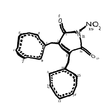 O=C1C(c2ccccc2)=C(c2ccccc2)C(=O)N1[N+](=O)[O-]